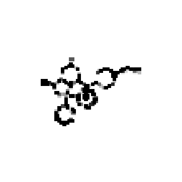 CCCCCN1CCC(C(=O)C2CNCC3C(=O)OC(c4ccccc4)(c4ccccc4)N32)CC1